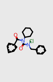 O=C(c1ccccc1)N(C(=O)N(Cl)Cc1ccccc1)C1CCCCC1